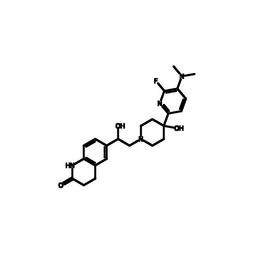 CN(C)c1ccc(C2(O)CCN(CC(O)c3ccc4c(c3)CCC(=O)N4)CC2)nc1F